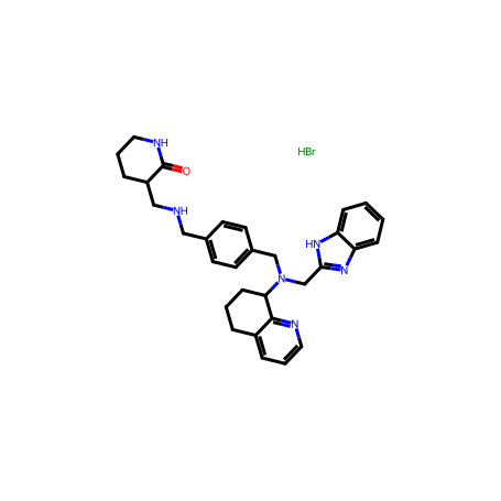 Br.O=C1NCCCC1CNCc1ccc(CN(Cc2nc3ccccc3[nH]2)C2CCCc3cccnc32)cc1